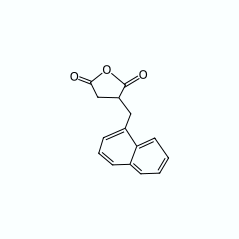 O=C1CC(Cc2cccc3ccccc23)C(=O)O1